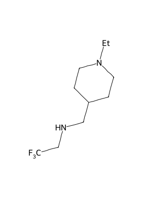 CCN1CCC(CNCC(F)(F)F)CC1